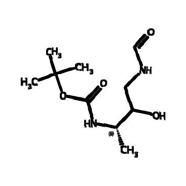 C[C@H](NC(=O)OC(C)(C)C)C(O)CNC=O